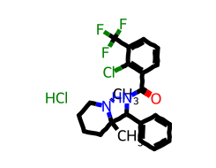 CN1CCCCC1(C)C(NC(=O)c1cccc(C(F)(F)F)c1Cl)c1ccccc1.Cl